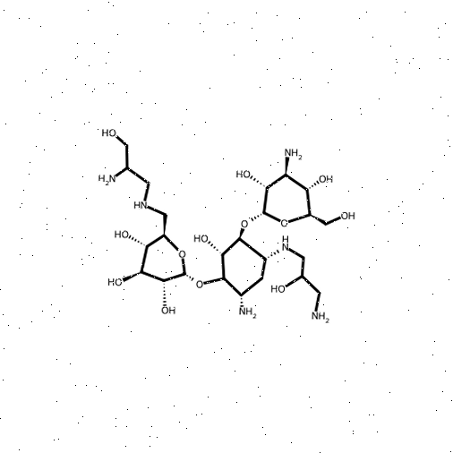 NCC(O)CN[C@@H]1C[C@H](N)C(O[C@H]2O[C@H](CNCC(N)CO)[C@@H](O)[C@H](O)[C@H]2O)[C@H](O)[C@H]1O[C@H]1O[C@H](CO)[C@@H](O)[C@H](N)[C@H]1O